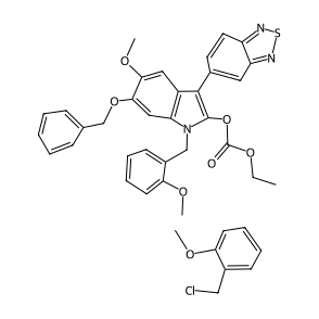 CCOC(=O)Oc1c(-c2ccc3nsnc3c2)c2cc(OC)c(OCc3ccccc3)cc2n1Cc1ccccc1OC.COc1ccccc1CCl